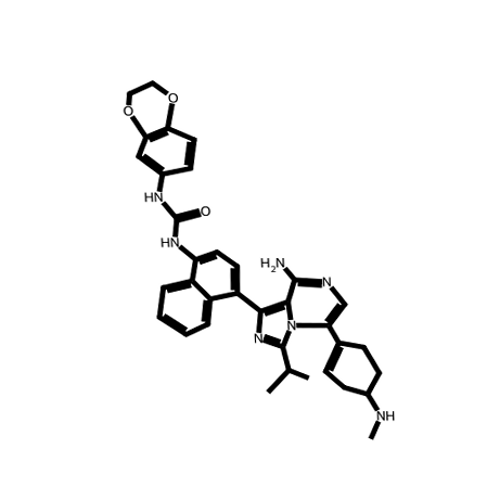 CNC1CC=C(c2cnc(N)c3c(-c4ccc(NC(=O)Nc5ccc6c(c5)OCCO6)c5ccccc45)nc(C(C)C)n23)CC1